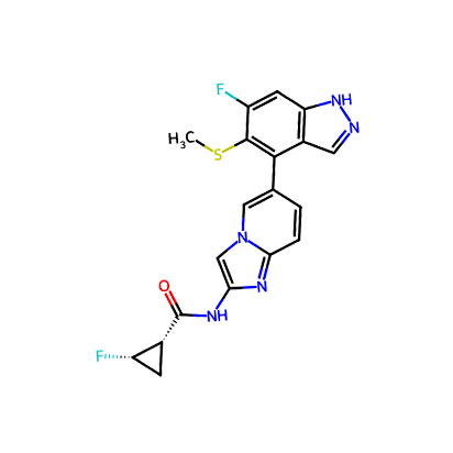 CSc1c(F)cc2[nH]ncc2c1-c1ccc2nc(NC(=O)[C@@H]3C[C@@H]3F)cn2c1